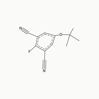 CC(C)(C)Oc1cc(C#N)c(F)c(C#N)c1